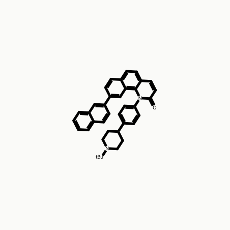 CC(C)(C)N1CCC(c2ccc(-n3c(=O)ccc4ccc5ccc(-c6ccc7ccccc7c6)cc5c43)cc2)CC1